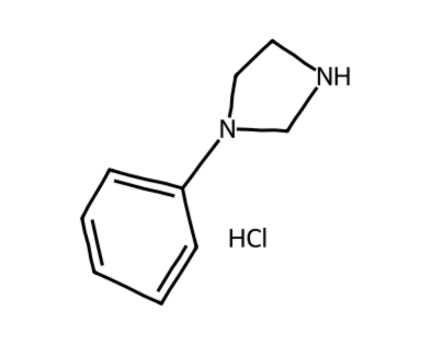 Cl.c1ccc(N2CCNC2)cc1